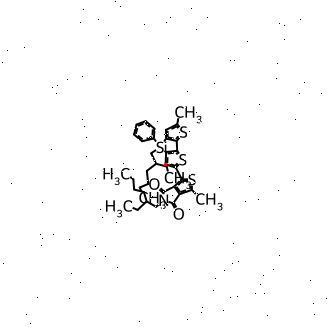 CCCCC(CC)CN1C(=O)c2c(C)sc(-c3cc4c(s3)-c3sc(C)cc3[Si]4(CC(CC)CCCC)c3ccccc3)c2C1=O